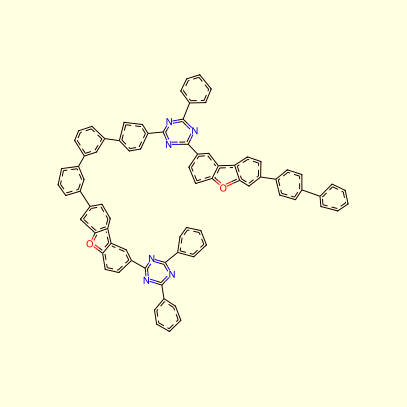 c1ccc(-c2ccc(-c3ccc4c(c3)oc3ccc(-c5nc(-c6ccccc6)nc(-c6ccc(-c7cccc(-c8cccc(-c9ccc%10c(c9)oc9ccc(-c%11nc(-c%12ccccc%12)nc(-c%12ccccc%12)n%11)cc9%10)c8)c7)cc6)n5)cc34)cc2)cc1